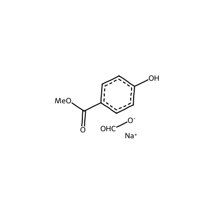 COC(=O)c1ccc(O)cc1.O=C[O-].[Na+]